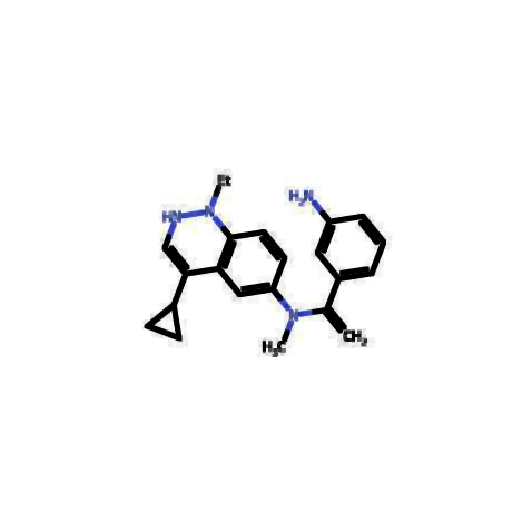 C=C(c1cccc(N)c1)N(C)c1ccc2c(c1)C(C1CC1)=CNN2CC